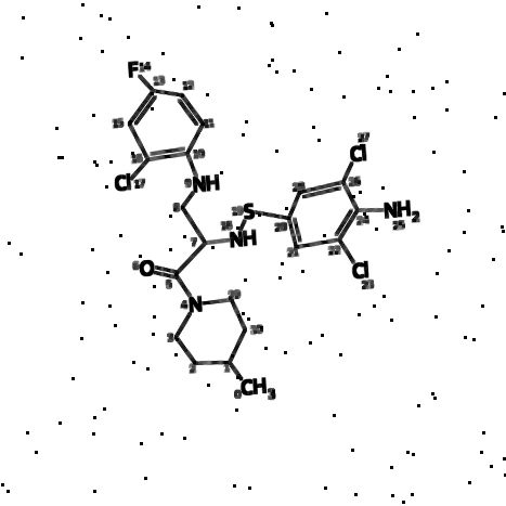 CC1CCN(C(=O)C(CNc2ccc(F)cc2Cl)NSc2cc(Cl)c(N)c(Cl)c2)CC1